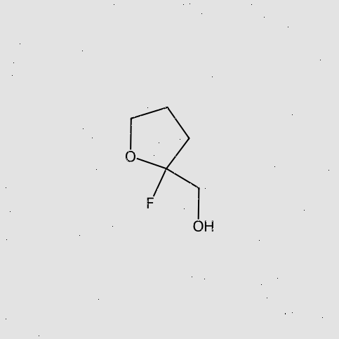 OCC1(F)CCCO1